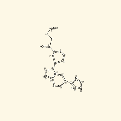 CC(=O)NCCC(=O)c1cccc(-c2n[nH]c3ccc(-c4ncn[nH]4)cc23)c1